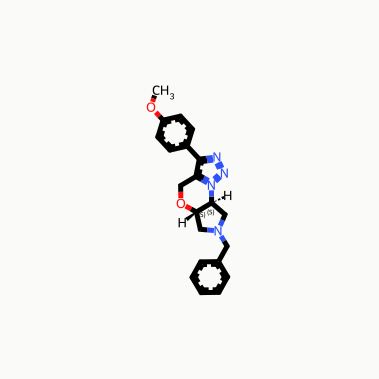 COc1ccc(-c2nnn3c2CO[C@H]2CN(Cc4ccccc4)C[C@@H]23)cc1